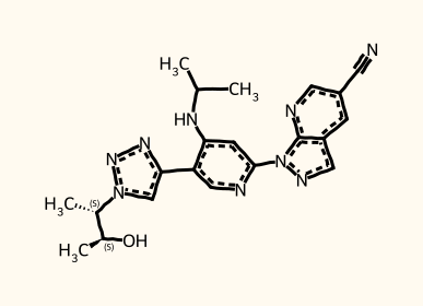 CC(C)Nc1cc(-n2ncc3cc(C#N)cnc32)ncc1-c1cn([C@@H](C)[C@H](C)O)nn1